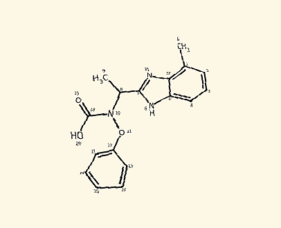 Cc1cccc2[nH]c(C(C)N(Oc3ccccc3)C(=O)O)nc12